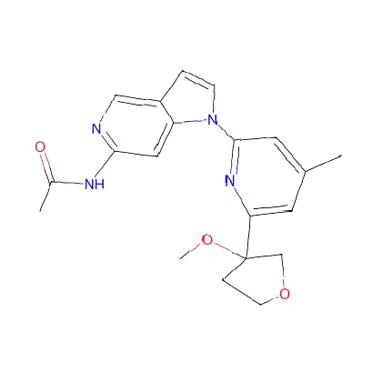 COC1(c2cc(C)cc(-n3ccc4cnc(NC(C)=O)cc43)n2)CCOC1